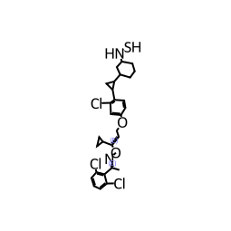 C/C(=N\O/C(=C/COc1ccc(C2CC2C2CCCC(NS)C2)c(Cl)c1)C1CC1)c1c(Cl)cccc1Cl